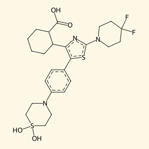 O=C(O)C1CCCCC1c1nc(N2CCC(F)(F)CC2)sc1-c1ccc(N2CCS(O)(O)CC2)cc1